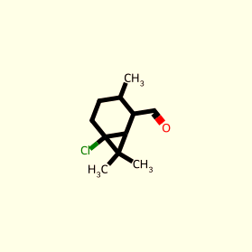 CC1CCC2(Cl)C(C1C=O)C2(C)C